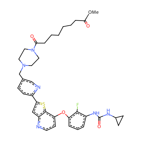 COC(=O)CCCCCCC(=O)N1CCN(Cc2ccc(-c3cc4nccc(Oc5cccc(NC(=O)NC6CC6)c5F)c4s3)nc2)CC1